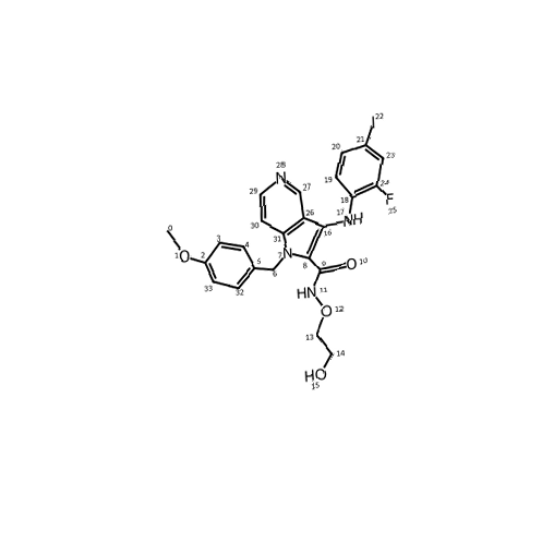 COc1ccc(Cn2c(C(=O)NOCCO)c(Nc3ccc(I)cc3F)c3cnccc32)cc1